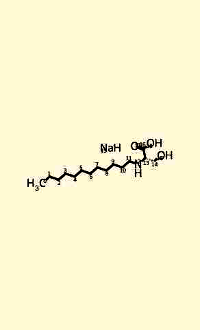 CCCCCCCCCCCCN[C@@H](CO)C(=O)O.[NaH]